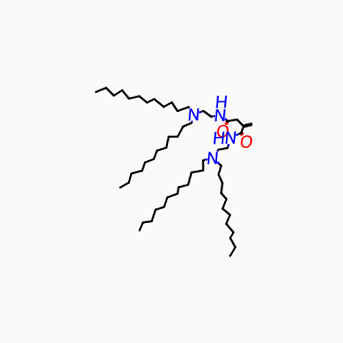 C=C(CC(=O)NCCN(CCCCCCCCCCCC)CCCCCCCCCCCC)C(=O)NCCN(CCCCCCCCCCCC)CCCCCCCCCCCC